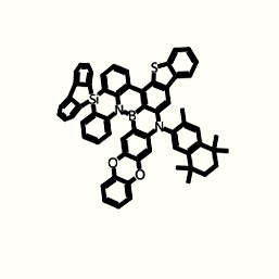 Cc1cc2c(cc1N1c3cc4c(cc3B3c5c1cc1c(sc6ccccc61)c5-c1cccc5c1N3c1ccccc1[Si]51c3ccccc3-c3ccccc31)Oc1ccccc1O4)C(C)(C)CCC2(C)C